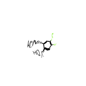 CC(=O)Nc1cc(F)c(F)cc1C(=O)O